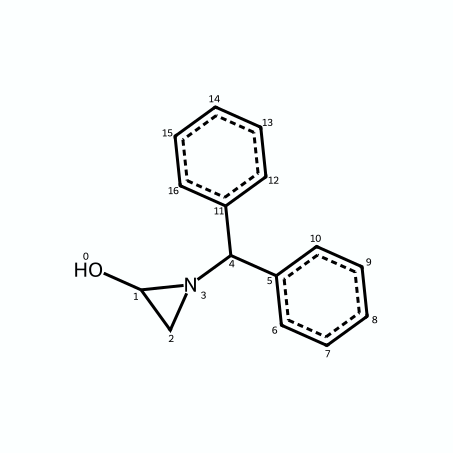 OC1CN1C(c1ccccc1)c1ccccc1